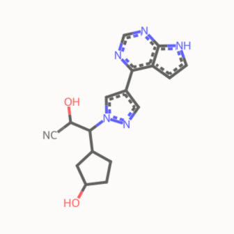 N#CC(O)C(C1CCC(O)C1)n1cc(-c2ncnc3[nH]ccc23)cn1